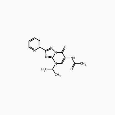 CC(=O)Nc1cn(C(C)C)c2nc(-c3ccccn3)nn2c1=O